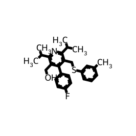 Cc1cccc(SCc2c(C(C)C)nc(C(C)C)c(CO)c2-c2ccc(F)cc2)c1